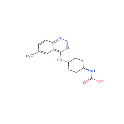 Cc1ccc2ncnc(N[C@H]3CC[C@H](NC(=O)O)CC3)c2c1